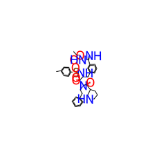 CC(=O)ONC(=N)c1cccc(C[C@H](NS(=O)(=O)c2ccc(C)cc2)C(=O)N(CCc2ccccc2)C(=O)C2CCCNC2)c1